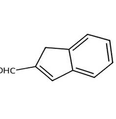 O=CC1=Cc2ccccc2C1